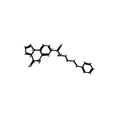 O=C(NCCCCc1ccccc1)c1ccc2c(c1)[nH]c(=O)c1cccn12